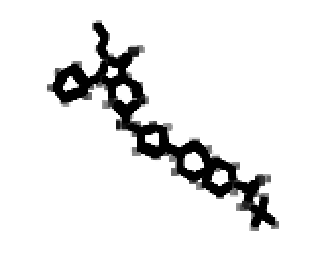 CCCn1c(=O)c2cnc(Nc3ccc(N4CCC5(CCN(C(=O)OC(C)(C)C)CC5)CC4)cc3)nc2n1-c1ccccc1